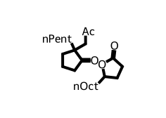 CCCCCC1(CC(C)=O)CCCC1=O.CCCCCCCCC1CCC(=O)O1